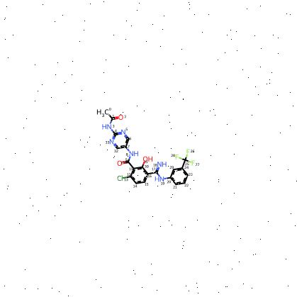 CC(=O)Nc1ncc(NC(=O)c2c(Cl)ccc(C(=N)Nc3cccc(C(F)(F)F)c3)c2O)cn1